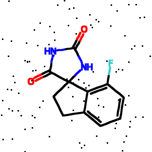 O=C1NC(=O)C2(CCc3cccc(F)c32)N1